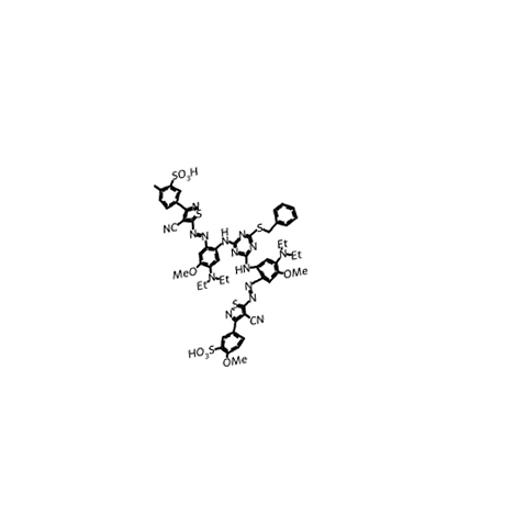 CCN(CC)c1cc(Nc2nc(Nc3cc(N(CC)CC)c(OC)cc3/N=N/c3snc(-c4ccc(OC)c(S(=O)(=O)O)c4)c3C#N)nc(SCc3ccccc3)n2)c(/N=N/c2snc(-c3ccc(C)c(S(=O)(=O)O)c3)c2C#N)cc1OC